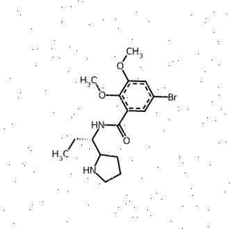 CC[C@H](NC(=O)c1cc(Br)cc(OC)c1OC)C1CCCN1